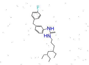 C=C(NCCCC(CC)CC(CC)CC)Nc1cccc(Cc2ccc(F)cc2)c1